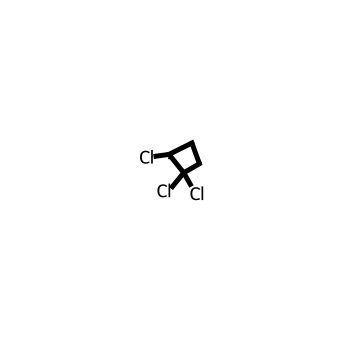 Cl[C]1CCC1(Cl)Cl